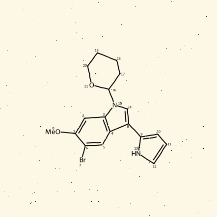 COc1cc2c(cc1Br)c(-c1ccc[nH]1)cn2C1CCCCO1